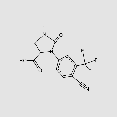 CN1CC(C(=O)O)N(c2ccc(C#N)c(C(F)(F)F)c2)C1=O